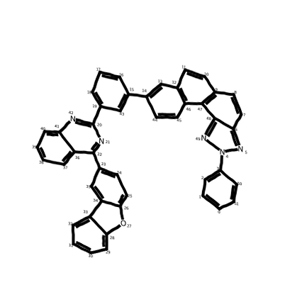 c1ccc(-n2nc3ccc4ccc5cc(-c6cccc(-c7nc(-c8ccc9oc%10ccccc%10c9c8)c8ccccc8n7)c6)ccc5c4c3n2)cc1